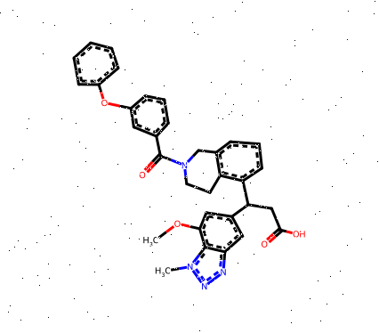 COc1cc(C(CC(=O)O)c2cccc3c2CCN(C(=O)c2cccc(Oc4ccccc4)c2)C3)cc2nnn(C)c12